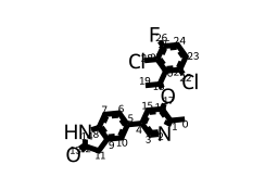 Cc1ncc(-c2ccc3c(c2)CC(=O)N3)cc1OC(C)c1c(Cl)ccc(F)c1Cl